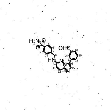 NS(=O)(=O)c1ccc(CNc2ccc3ncc(-c4cccc(C=O)c4)n3n2)cc1